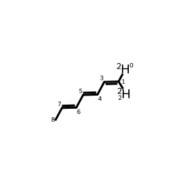 [2H]C([2H])=CC=CC=CC